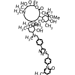 CCC1OC(=O)[C@H](C)C([C@H]2C[C@@](C)(OC)[C@@H](O)[C@H](C)O2)[C@H](C)[C@@H](O[C@@H]2O[C@H](C)C[C@H](N(C)Cc3ccc(-c4cn(Cc5ccc(-n6cc(C)ccc6=O)cc5)nn4)cc3)[C@H]2O)[C@](C)(O)CCCN(C)[C@H](C)[C@@H](O)[C@@H]1O